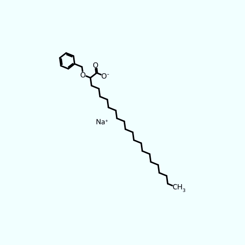 CCCCCCCCCCCCCCCCCCCCC(OCc1ccccc1)C(=O)[O-].[Na+]